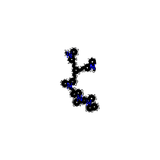 CCn1c2ccccc2c2cc(/C=C/c3cc(/C=C/c4ccc5c(c4)c4ccccc4n5CC)cc(/C=C/c4ccc5c(c4)c4ccccc4n5CCc4cccc5c(-n6c7ccccc7c7cc8c(cc76)c6ccccc6n8-c6cccc7ccccc67)cccc45)c3)ccc21